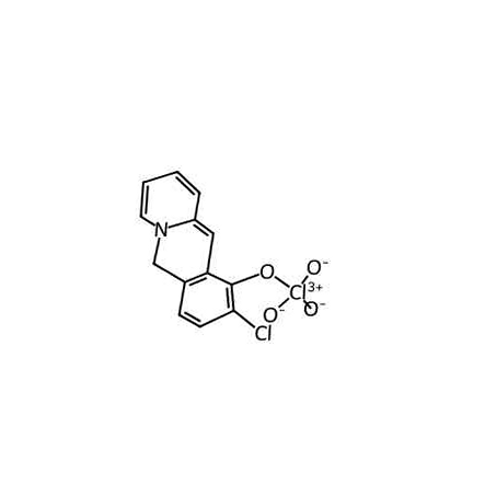 [O-][Cl+3]([O-])([O-])Oc1c(Cl)ccc2c1C=C1C=CC=CN1C2